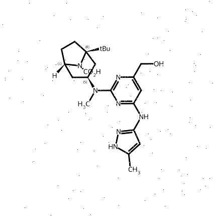 Cc1cc(Nc2cc(CO)nc(N(C)[C@H]3C[C@@H]4CC[C@](C(C)(C)C)(C3)N4C(=O)O)n2)n[nH]1